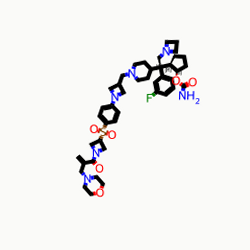 C=C(CN1CCOCC1)C(=O)N1CC(S(=O)(=O)c2ccc(N3CC(CN4CCC([C@@](CN5CCC5)(c5cccc(F)c5)[C@H]5CCC[C@@H]5OC(N)=O)CC4)C3)cc2)C1